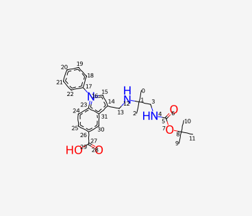 CC(C)(CNC(=O)OC(C)(C)C)NCc1cn(-c2ccccc2)c2ccc(C(=O)O)cc12